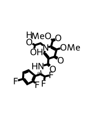 COC(=O)c1c(OC)c(=O)c(C(=O)N[C@@H](c2ccc(F)cc2F)C(F)F)cn1CC(O)O